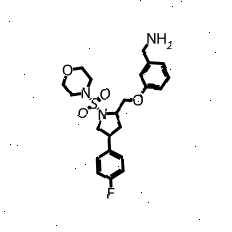 NCc1cccc(OCC2CC(c3ccc(F)cc3)CN2S(=O)(=O)N2CCOCC2)c1